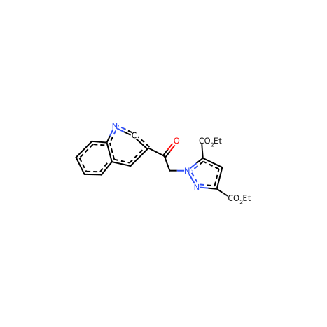 CCOC(=O)c1cc(C(=O)OCC)n(CC(=O)c2cnc3ccccc3c2)n1